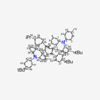 Cc1ccc(N2c3ccccc3C3(c4cc(C(C)(C)C)ccc4-c4cc5c(cc43)-c3ccc(C(C)C)cc3C53c4ccccc4N(c4ccc(C(C)(C)C)cc4)c4ccc(C)cc43)c3ccc(C(C)(C)C)cc32)cc1